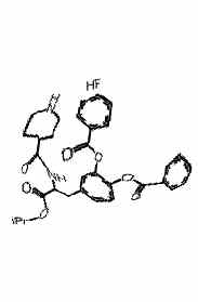 CC(C)OC(=O)C(Cc1ccc(OC(=O)c2ccccc2)c(OC(=O)c2ccccc2)c1)NC(=O)C1CCNCC1.F